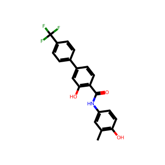 Cc1cc(NC(=O)c2ccc(-c3ccc(C(F)(F)F)cc3)cc2O)ccc1O